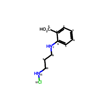 O=C(O)c1ccccc1NCCCNCl